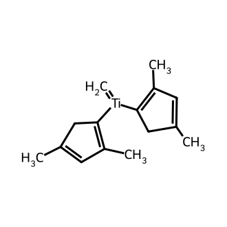 [CH2]=[Ti]([C]1=C(C)C=C(C)C1)[C]1=C(C)C=C(C)C1